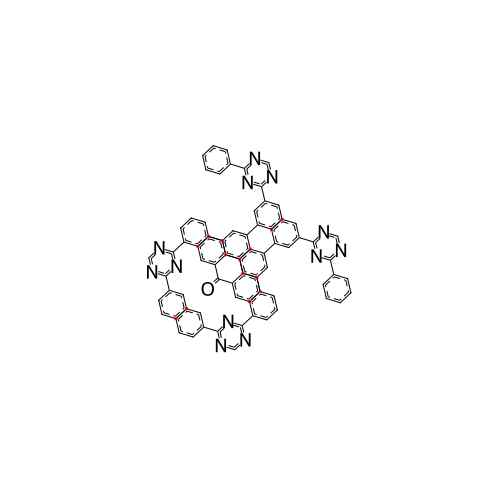 O=C(c1ccccc1-c1cc(-c2cccc(-c3ncnc(-c4ccccc4)n3)c2)cc(-c2cccc(-c3ncnc(-c4ccccc4)n3)c2)c1)c1ccccc1-c1cc(-c2cccc(-c3ncnc(-c4ccccc4)n3)c2)cc(-c2cccc(-c3ncnc(-c4ccccc4)n3)c2)c1